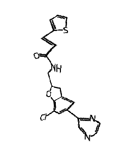 O=C(C=Cc1cccs1)NCC1Cc2cc(-c3cnccn3)cc(Cl)c2O1